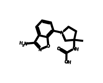 CC1(NC(=O)O)CCN(c2cccc3c(N)noc23)C1